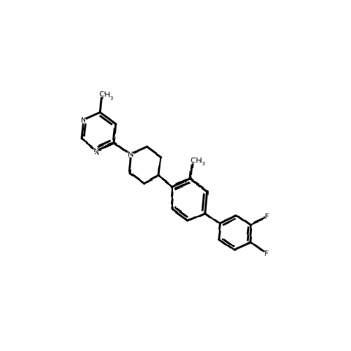 Cc1cc(N2CCC(c3ccc(-c4ccc(F)c(F)c4)cc3C)CC2)ncn1